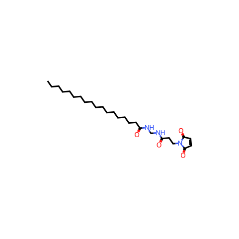 CCCCCCCCCCCCCCCCCC(=O)NCNC(=O)CCN1C(=O)C=CC1=O